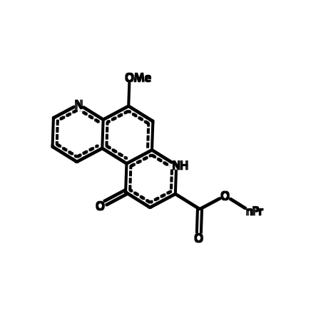 CCCOC(=O)c1cc(=O)c2c(cc(OC)c3ncccc32)[nH]1